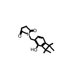 CC1(C)c2ccc(CN3C(=O)CCC3=O)c(O)c2C1(C)C